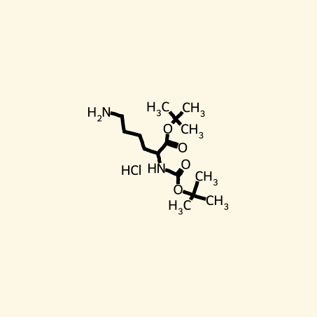 CC(C)(C)OC(=O)NC(CCCCN)C(=O)OC(C)(C)C.Cl